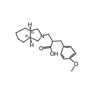 COc1ccc(CC(CN2C[C@H]3CCCC[C@H]3C2)C(=O)O)cc1